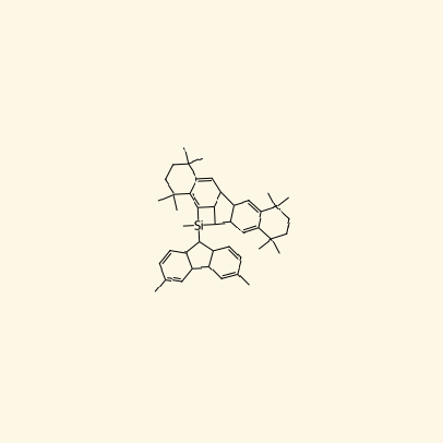 CC1=CC2C3C=C(C)C=CC3C([Si]3(C)C4=C5C(=CC6C7C=C8C(=CC7C3C46)C(C)(C)CCC8(C)C)C(C)(C)CCC5(C)C)C2C=C1